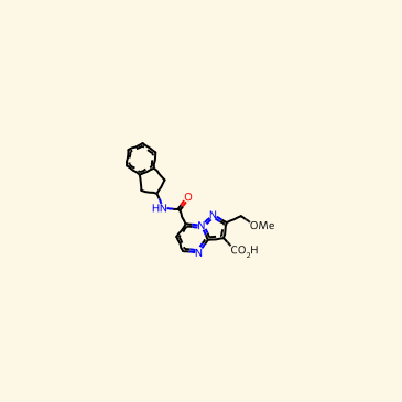 COCc1nn2c(C(=O)NC3Cc4ccccc4C3)ccnc2c1C(=O)O